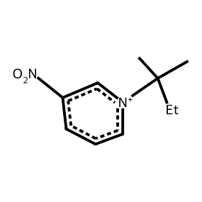 CCC(C)(C)[n+]1cccc([N+](=O)[O-])c1